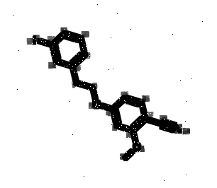 COc1cc(OCCc2cccc(F)c2)ccc1C#N